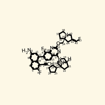 C#Cc1c(F)ccc2cc(N)cc(-c3ccc4c(N5C[C@@H]6CC[C@](C7CCCC7)(C5)N6)nc(OC[C@@]56CCCN5C/C(=C\F)C6)nc4c3F)c12